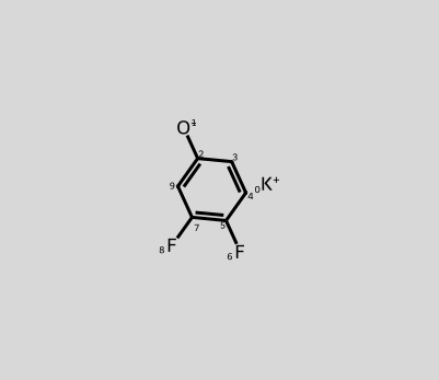 [K+].[O-]c1ccc(F)c(F)c1